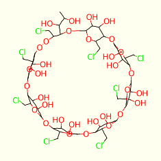 CC(O)C(O)C1OC2OC(CCl)C(OC3OC(CCl)C(OC4OC(CCl)C(OC5OC(CCl)C(OC6OC(CCl)C(OC7OC(CCl)C(OC8OC(CCl)C(OOC1CCl)C(O)C8O)C(O)C7O)C(O)C6O)C(O)C5O)C(O)C4O)C(O)C3O)C(O)C2O